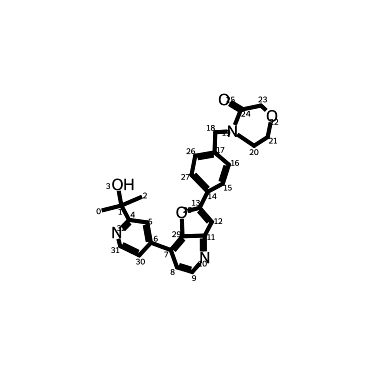 CC(C)(O)c1cc(-c2ccnc3cc(-c4ccc(CN5CCOCC5=O)cc4)oc23)ccn1